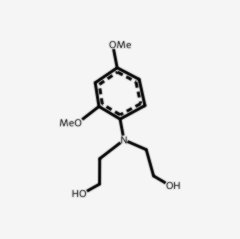 COc1ccc(N(CCO)CCO)c(OC)c1